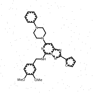 COc1ccc(CNc2nc(N3CCN(c4ccccc4)CC3)cc3nc(-c4ccco4)nn23)cc1OC